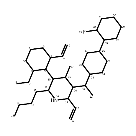 C=CC1CCCC(CC)C1C1C(CCCC)NC(C=C)C(C(C)C2CCC(C3CCCCC3F)CC2)C1C